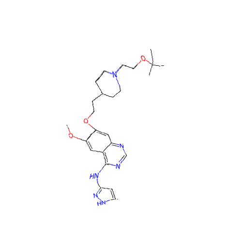 COc1cc2c(Nc3c[c][nH]n3)ncnc2cc1OCCC1CCN(CCOC(C)(C)C)CC1